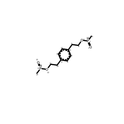 C[PH](=O)OCCc1ccc(CCO[PH](C)=O)cc1